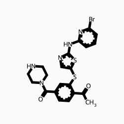 CC(=O)c1ccc(C(=O)N2CCNCC2)cc1Sc1cnc(Nc2cccc(Br)n2)s1